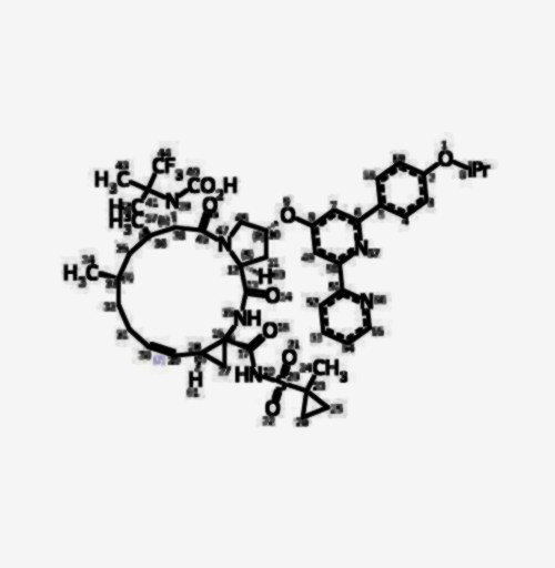 CC(C)Oc1ccc(-c2cc(O[C@@H]3C[C@H]4C(=O)N[C@]5(C(=O)NS(=O)(=O)C6(C)CC6)C[C@H]5/C=C\CC[C@@H](C)C[C@@H](C)[C@H](N(C(=O)O)C(C)(C)C(F)(F)F)C(=O)N4C3)cc(-c3ccccn3)n2)cc1